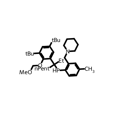 CCCCCC(CC)(Pc1ccc(C)cc1CN1CCCCC1)c1cc(C(C)(C)C)cc(C(C)(C)C)c1OCOC